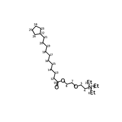 CC[N+](CC)(CC)CCOCCOC(=O)CCCCCCCCCCC1CCCC1